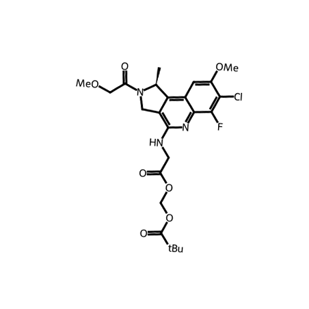 COCC(=O)N1Cc2c(NCC(=O)OCOC(=O)C(C)(C)C)nc3c(F)c(Cl)c(OC)cc3c2[C@@H]1C